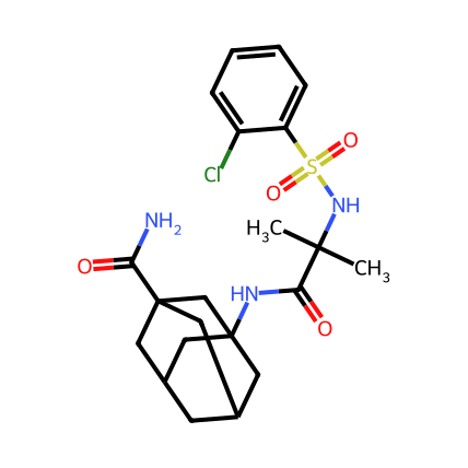 CC(C)(NS(=O)(=O)c1ccccc1Cl)C(=O)NC12CC3CC(C1)CC(C(N)=O)(C3)C2